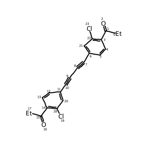 CCC(=O)c1ccc(C#CC#Cc2ccc(C(=O)CC)c(Cl)c2)cc1Cl